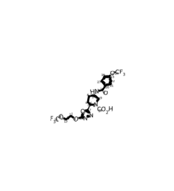 O=C(N[C@H]1CC[C@H](c2nnc(OCCOC(F)(F)F)o2)N(C(=O)O)C1)c1ccc(OC(F)(F)F)cc1